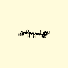 O=C(C=Cc1c[nH]cn1)NCCCNCCCCNc1ccnc2cc(Cl)ccc12